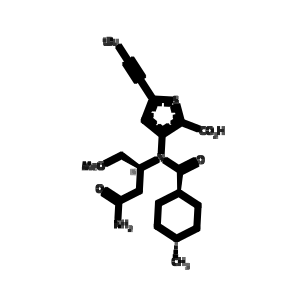 COC[C@H](CC(N)=O)N(c1cc(C#CC(C)(C)C)sc1C(=O)O)C(=O)[C@H]1CC[C@H](C)CC1